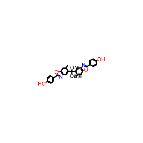 COC(OC)(c1cc2nc(-c3ccc(O)cc3)oc2cc1C)c1cc2nc(-c3ccc(O)cc3)oc2cc1C